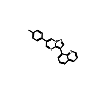 Cc1ccc(-c2cnc3c(-c4cccc5cccnc45)cnn3c2)cc1